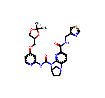 CC1(C)OC[C@H](COc2ccnc(NC(=O)N3c4nc(C(=O)NCc5cscn5)ccc4N4CCC3C4)c2)O1